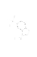 Nn1ccc2ccc(C(F)(F)F)cc21